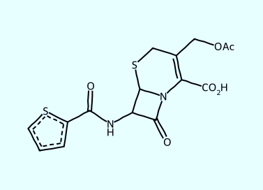 CC(=O)OCC1=C(C(=O)O)N2C(=O)C(NC(=O)c3cccs3)C2SC1